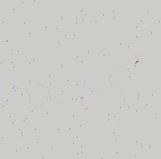 O=C(NC[C@H]1CC[C@H](C(=O)O)CC1)OCc1ccc([N+](=O)[O-])cc1